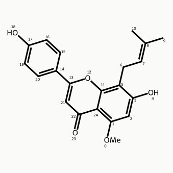 COc1cc(O)c(CC=C(C)C)c2oc(-c3ccc(O)cc3)cc(=O)c12